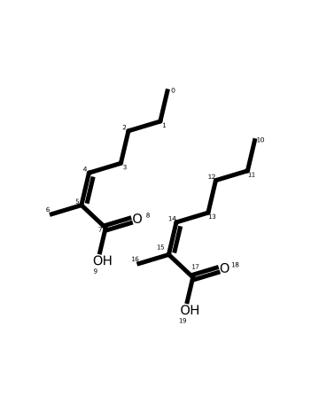 CCCCC=C(C)C(=O)O.CCCCC=C(C)C(=O)O